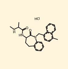 CNC(C)C(=O)NC1CCc2ccccc2N(Cc2ccc(C)c3ccccc23)C1=O.Cl